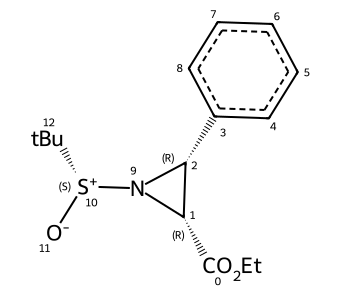 CCOC(=O)[C@H]1[C@@H](c2ccccc2)N1[S@+]([O-])C(C)(C)C